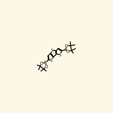 CC1(C)OB(c2cc3sc4cc(B5OC(C)(C)C(C)(C)O5)sc4c3s2)OC1(C)C